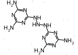 Nc1nc(N)nc(NNNc2nc(N)nc(N)n2)n1